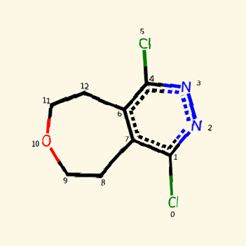 Clc1nnc(Cl)c2c1CCOCC2